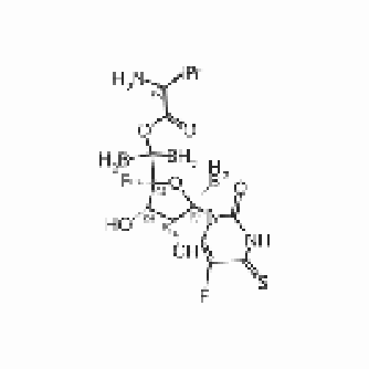 BC(B)(OC(=O)[C@@H](N)C(C)C)[C@@]1(F)O[C@@](B)(n2cc(F)c(=S)[nH]c2=O)[C@H](O)[C@@H]1O